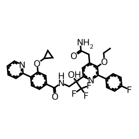 CCOc1c(CC(N)=O)cc([C@@](O)(CNC(=O)c2ccc(-c3ccccn3)c(OC3CC3)c2)C(F)(F)F)nc1-c1ccc(F)cc1